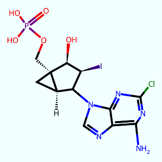 Nc1nc(Cl)nc2c1ncn2C1[C@H]2C[C@@]2(COP(=O)(O)O)[C@@H](O)[C@H]1I